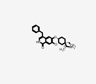 CC[C@]1([C@@H](C)N)CC[C@H](Oc2cc3c(Cc4ccccc4)c[nH]c(=O)c3cc2Cl)CC1